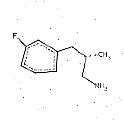 C[C@H](CN)Cc1cccc(F)c1